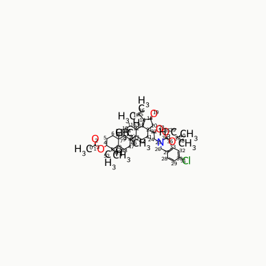 CC(=O)O[C@H]1CC[C@]2(C)C3CC[C@@H]4C5=C(C(C)C)C(=O)C[C@]5(C(=O)CN(Cc5ccc(Cl)cc5)C(=O)OC(C)(C)C)CC[C@@]4(C)[C@]3(C)CC[C@H]2C1(C)C